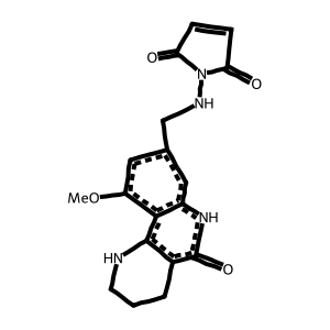 COc1cc(CNN2C(=O)C=CC2=O)cc2[nH]c(=O)c3c(c12)NCCC3